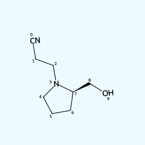 N#CCCN1CCC[C@@H]1CO